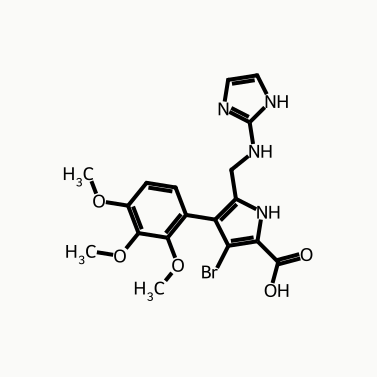 COc1ccc(-c2c(CNc3ncc[nH]3)[nH]c(C(=O)O)c2Br)c(OC)c1OC